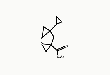 COC(=O)C1(CC2(C3CO3)CC2)CO1